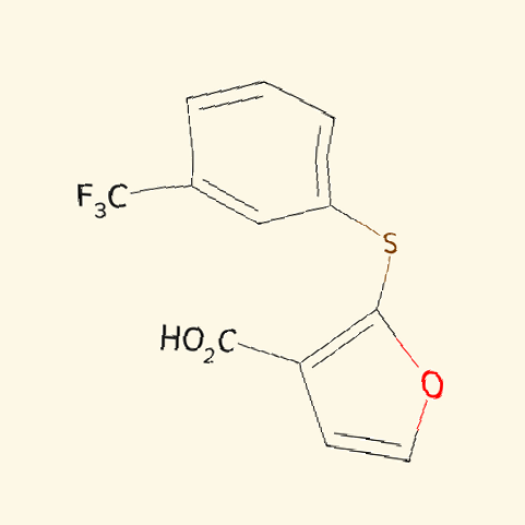 O=C(O)c1ccoc1Sc1cccc(C(F)(F)F)c1